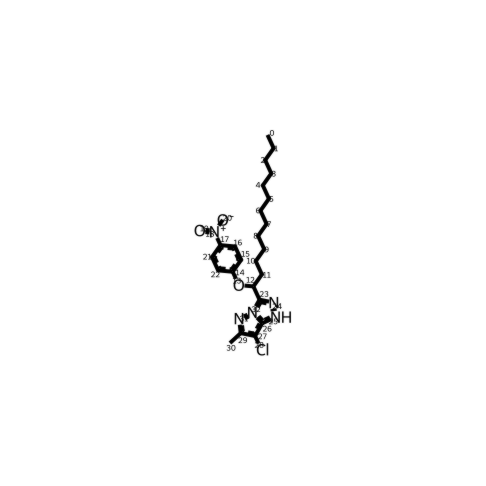 CCCCCCCCCCCCC(Oc1ccc([N+](=O)[O-])cc1)c1n[nH]c2c(Cl)c(C)nn12